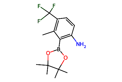 Cc1c(C(F)(F)F)ccc(N)c1B1OC(C)(C)C(C)(C)O1